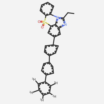 [2H]c1c([2H])c([2H])c(-c2ccc(-c3ccc(-c4cc5c6c(c4)nc(CC)n6-c4ccccc4S5(=O)=O)cc3)cc2)c([2H])c1[2H]